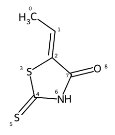 C/C=C1\SC(=S)NC1=O